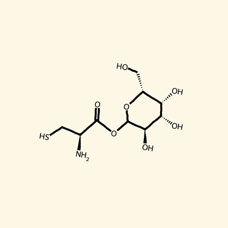 N[C@@H](CS)C(=O)OC1O[C@H](CO)[C@H](O)[C@H](O)[C@H]1O